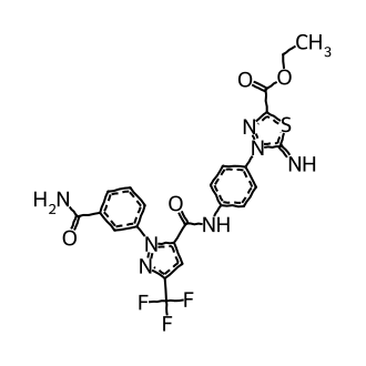 CCOC(=O)c1nn(-c2ccc(NC(=O)c3cc(C(F)(F)F)nn3-c3cccc(C(N)=O)c3)cc2)c(=N)s1